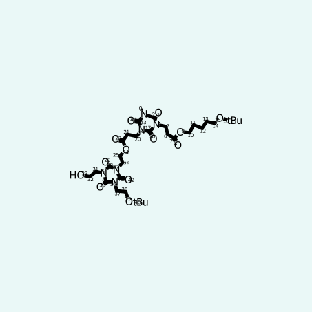 Cn1c(=O)n(CCC(=O)OCCCCCOC(C)(C)C)c(=O)n(CCC(=O)OCCn2c(=O)n(CCO)c(=O)n(CCOC(C)(C)C)c2=O)c1=O